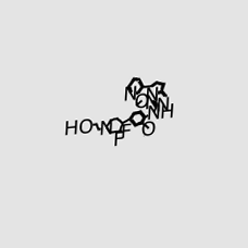 COc1cc(C2CCN(CCO)CC2(F)F)ccc1Nc1ncc2ccc(-c3cccnc3OC)n2n1